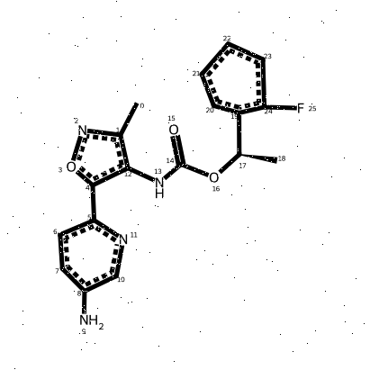 Cc1noc(-c2ccc(N)cn2)c1NC(=O)O[C@H](C)c1ccccc1F